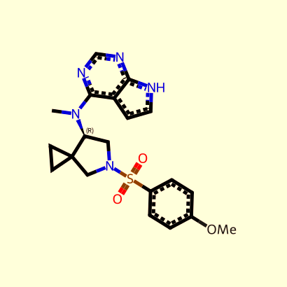 COc1ccc(S(=O)(=O)N2C[C@H](N(C)c3ncnc4[nH]ccc34)C3(CC3)C2)cc1